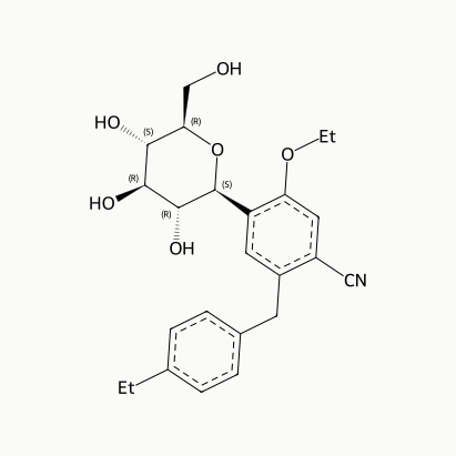 CCOc1cc(C#N)c(Cc2ccc(CC)cc2)cc1[C@@H]1O[C@H](CO)[C@@H](O)[C@H](O)[C@H]1O